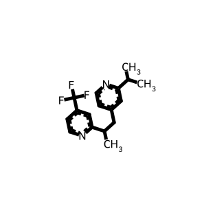 CC(C)c1cc(CC(C)c2cc(C(F)(F)F)ccn2)ccn1